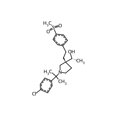 C[C@@H](O)[C@]1(CCc2ccc(S(C)(=O)=O)cc2)CCN(C(C)(C)c2ccc(Cl)cc2)C1